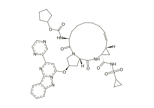 O=C(N[C@H]1CCCCC/C=C\[C@@H]2C[C@@]2(C(=O)NS(=O)(=O)C2CC2)NC(=O)[C@@H]2C[C@@H](Oc3cc(-c4cnccn4)nc4c5ccccc5nn34)CN2C1=O)OC1CCCC1